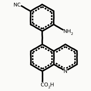 N#Cc1ccc(N)c(-c2ccc(C(=O)O)c3ncccc23)c1